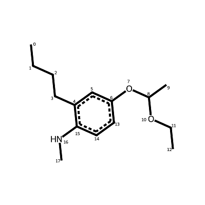 CCCCc1cc(OC(C)OCC)ccc1NC